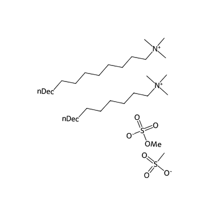 CCCCCCCCCCCCCCCCCC[N+](C)(C)C.CCCCCCCCCCCCCCCC[N+](C)(C)C.COS(=O)(=O)[O-].CS(=O)(=O)[O-]